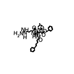 CC(C)C[C@H](NC(=O)[C@@H](N)CCCNC(=N)N)C(=O)N(C(=O)OCc1ccccc1)[C@H](CNC(=O)/C=C/C=C/c1ccccc1)C(C)C